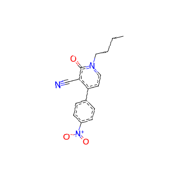 CCCCn1ccc(-c2ccc([N+](=O)[O-])cc2)c(C#N)c1=O